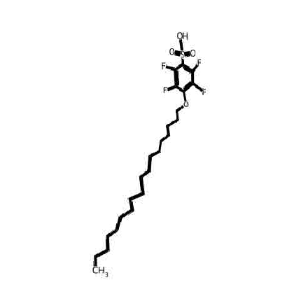 CCCCCCCCCCCCCCCCCCOc1c(F)c(F)c(S(=O)(=O)O)c(F)c1F